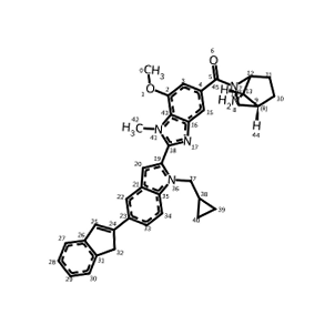 COc1cc(C(=O)N2C[C@H]3CCC2[C@H]3N)cc2nc(-c3cc4cc(C5=Cc6ccccc6C5)ccc4n3CC3CC3)n(C)c12